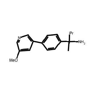 COc1cncc(-c2ccc(C(C)(N)C(C)C)cc2)c1